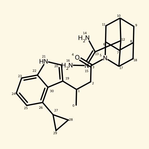 CC(CC(=O)N1C2CC3CC(C2)C(/C(N)=N/N)C1C3)c1c[nH]c2cccc(C3CC3)c12